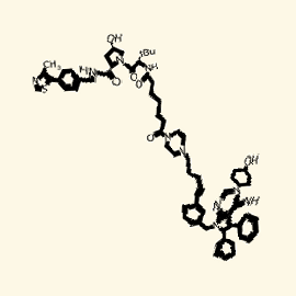 Cc1ncsc1-c1ccc(CNC(=O)[C@@H]2C[C@@H](O)CN2C(=O)[C@@H](NC(=O)CCCCCC(=O)N2CCN(CCCC#Cc3cccc(Cn4c(-c5ccccc5)c(-c5ccccc5)c5c(=N)n(C6CCC(O)CC6)cnc54)c3)CC2)C(C)(C)C)cc1